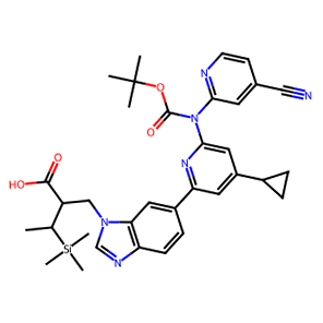 CC(C(Cn1cnc2ccc(-c3cc(C4CC4)cc(N(C(=O)OC(C)(C)C)c4cc(C#N)ccn4)n3)cc21)C(=O)O)[Si](C)(C)C